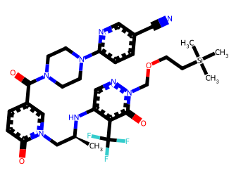 C[C@@H](Cn1cc(C(=O)N2CCN(c3ccc(C#N)cn3)CC2)ccc1=O)Nc1cnn(COCC[Si](C)(C)C)c(=O)c1C(F)(F)F